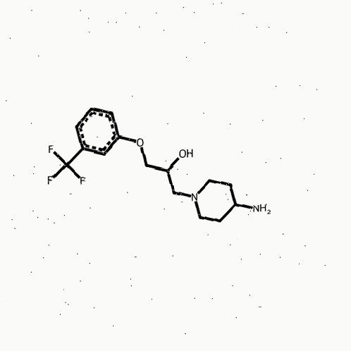 NC1CCN(CC(O)COc2cccc(C(F)(F)F)c2)CC1